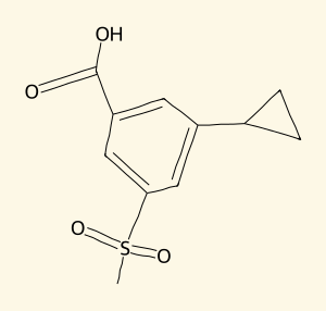 CS(=O)(=O)c1cc(C(=O)O)cc(C2CC2)c1